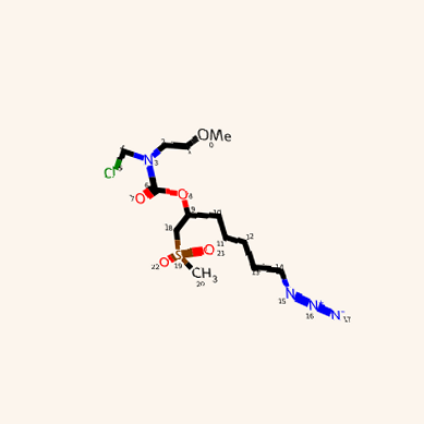 COCCN(CCl)C(=O)OC(CCCCCN=[N+]=[N-])CS(C)(=O)=O